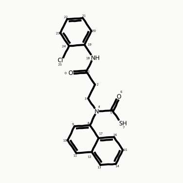 O=C(CCN(C(=O)S)c1cccc2ccccc12)Nc1ccccc1Cl